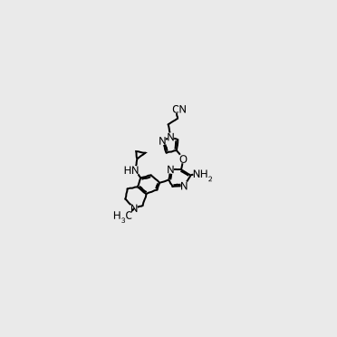 CN1CCc2c(cc(-c3cnc(N)c(Oc4cnn(CCC#N)c4)n3)cc2NC2CC2)C1